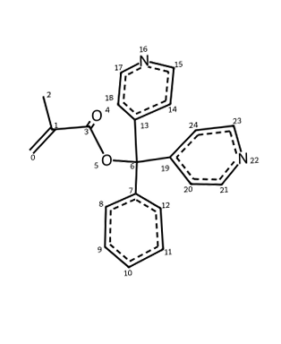 C=C(C)C(=O)OC(c1ccccc1)(c1ccncc1)c1ccncc1